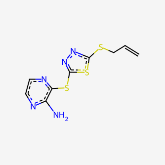 C=CCSc1nnc(Sc2nccnc2N)s1